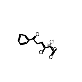 O=C(CC=C(Cl)[C@@]1(Cl)OC1=O)c1ccccc1